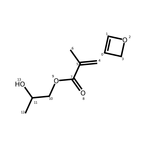 C1=COC1.C=C(C)C(=O)OCC(C)O